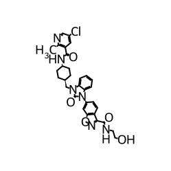 Cc1ncc(Cl)cc1C(=O)N[C@H]1CC[C@H](Cn2c(=O)n(-c3ccc4c(C(=O)NCCO)noc4c3)c3ccccc32)CC1